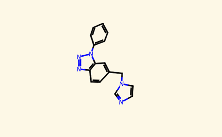 c1ccc(-n2nnc3ccc(Cn4ccnc4)cc32)cc1